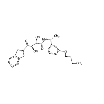 CCCCOc1cccc([C@@H](C)NC(=O)[C@H](O)[C@@H](O)C(=O)N2Cc3cccnc3C2)c1